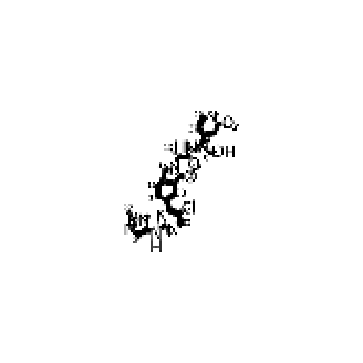 COc1cc([C@@H](CO)NC(=O)[C@@H](C)N2Cc3ccc(-c4nc(Nc5cnn(C)n5)ncc4Cl)cc3C2=O)ccn1